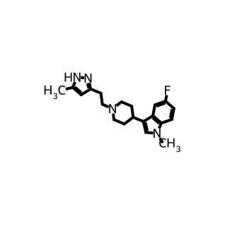 Cc1cc(CCN2CCC(c3cn(C)c4ccc(F)cc34)CC2)n[nH]1